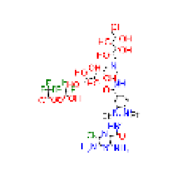 CCn1c(CNC(=O)c2nc(Cl)c(N)nc2N)[n+](CC)c2ccc(C(=O)NCCN(CC(O)C(O)C(O)C(O)CO)CC(O)C(O)C(O)C(O)CO)cc21.O=C(O)C(F)(F)F.O=C([O-])C(F)(F)F